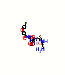 NCCCC(=O)Nc1csc(CNC(=O)[C@@H]2CC3(CN2C(=O)CNC(=O)c2ccc(Oc4ccc(F)cc4)cc2)OCCO3)c1